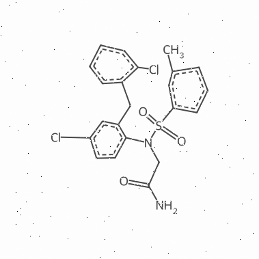 Cc1cccc(S(=O)(=O)N(CC(N)=O)c2ccc(Cl)cc2Cc2ccccc2Cl)c1